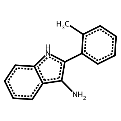 Cc1ccccc1-c1[nH]c2ccccc2c1N